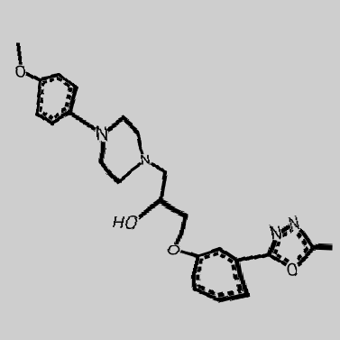 COc1ccc(N2CCN(CC(O)COc3cccc(-c4nnc(C)o4)c3)CC2)cc1